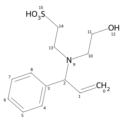 C=CC(c1ccccc1)N(CCO)CCS(=O)(=O)O